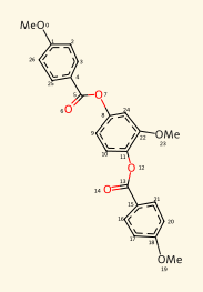 COc1ccc(C(=O)Oc2ccc(OC(=O)c3ccc(OC)cc3)c(OC)c2)cc1